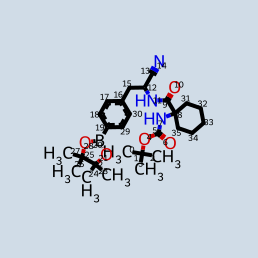 CC(C)(C)OC(=O)NC1(C(=O)NC(C#N)Cc2ccc(B3OC(C)(C)C(C)(C)O3)cc2)CCCCC1